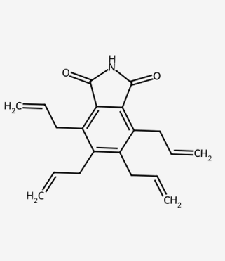 C=CCc1c(CC=C)c(CC=C)c2c(c1CC=C)C(=O)NC2=O